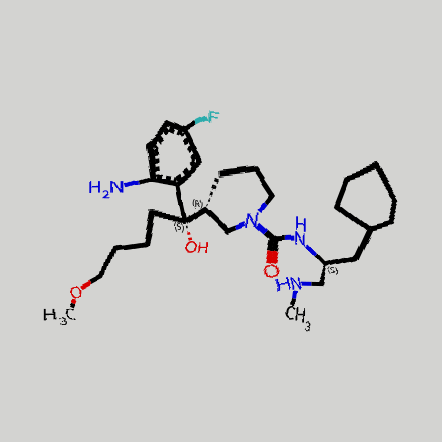 CNC[C@H](CC1CCCCC1)NC(=O)N1CCC[C@@H]([C@@](O)(CCCCOC)c2cc(F)ccc2N)C1